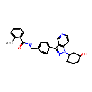 COc1ccccc1C(=O)NCc1ccc(-c2nn(C3CCCC(O)C3)c3ccncc23)cc1